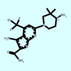 CCC(F)(F)c1cc(N2CC[C@H](N)C(C)(C)C2)nc2sc(C(N)=O)c(N)c12